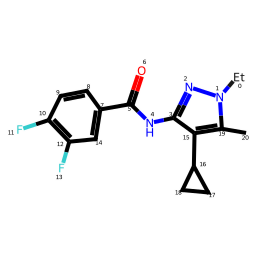 CCn1nc(NC(=O)c2ccc(F)c(F)c2)c(C2CC2)c1C